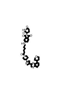 O=C1CCC(N2C(=O)c3ccc(NCCCCCC(=O)N4CCC(n5cc(-c6cnc7cccc(C8CCOCC8)c7n6)cn5)CC4)cc3C2=O)C(=O)N1